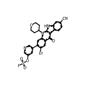 CCc1cc2c(=O)c3c4ccc(C#N)cc4[nH]c3n(C3CCOCC3)c2cc1-c1cncc(OS(=O)(=O)F)c1